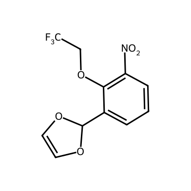 O=[N+]([O-])c1cccc(C2OC=CO2)c1OCC(F)(F)F